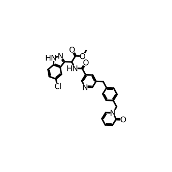 COC(=O)C(NC(=O)c1cncc(Cc2ccc(Cn3ccccc3=O)cc2)c1)c1n[nH]c2ccc(Cl)cc12